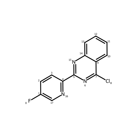 Fc1ccc(-c2nc(Cl)c3ccccc3n2)nc1